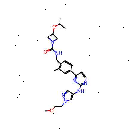 COCCn1cc(Nc2nccc(-c3ccc(CNC(=O)N4CC(OC(C)C)C4)c(C)c3)n2)cn1